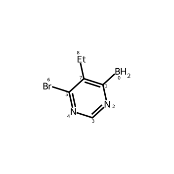 Bc1ncnc(Br)c1CC